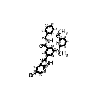 COc1cccc(N(C)c2cc(C(=O)NCc3ccccc3)cc(-c3nc4cc(Br)cnc4[nH]3)c2)n1